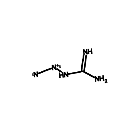 [N][N+]NC(=N)N